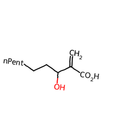 C=C(C(=O)O)C(O)CCCCCCC